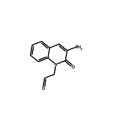 Bc1cc2ccccc2n(CC=O)c1=O